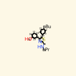 CCCCc1ccc(-c2sc(CNCCC)nc2-c2cccc(O)c2)cc1